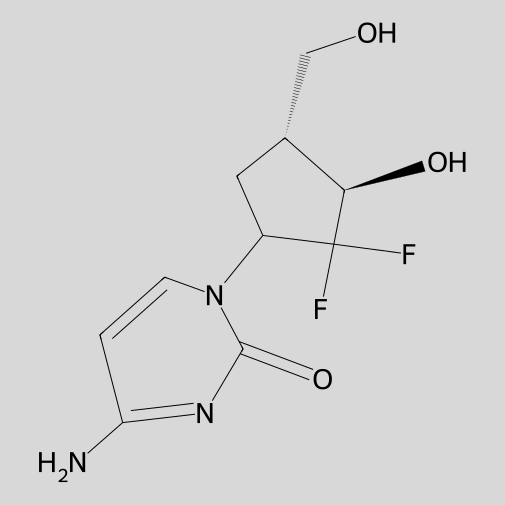 Nc1ccn(C2C[C@H](CO)[C@@H](O)C2(F)F)c(=O)n1